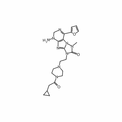 Cn1c(=O)n(CCN2CCN(C(=O)CC3CC3)CC2)c2nc3c(n21)C(c1ccco1)=NCN3N